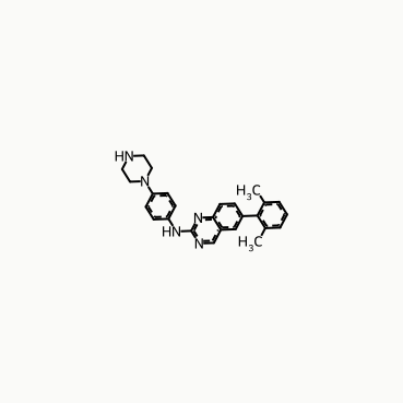 Cc1cccc(C)c1-c1ccc2nc(Nc3ccc(N4CCNCC4)cc3)ncc2c1